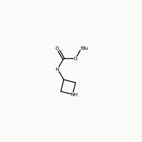 CC(C)(C)OC(=O)[N]C1CNC1